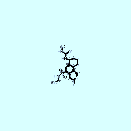 CCNC(=O)NC1CCCc2c1cc(S(=O)(=O)NCC(C)C)c1cc(Cl)ncc21